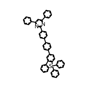 c1ccc(-c2cc(-c3ccccc3)nc(-c3ccc(-c4ccc(-c5ccc6c(c5)-c5ccccc5[Si]6(c5ccccc5)c5ccccc5)cc4)cc3)n2)cc1